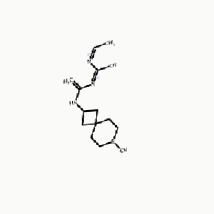 C=C(/N=C(C#N)\N=C/C)NC1CC2(CCB(C#N)CC2)C1